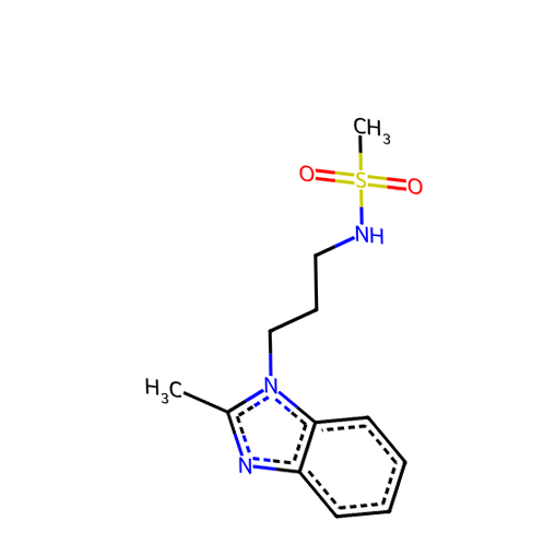 Cc1nc2ccccc2n1CCCNS(C)(=O)=O